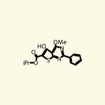 COc1nc(-c2ccccc2)nc2sc(C(=O)OC(C)C)c(O)c12